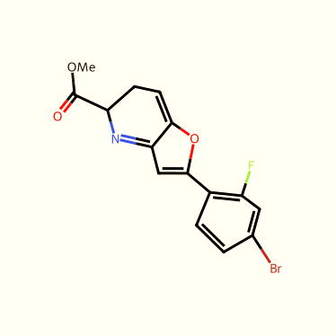 COC(=O)C1CC=c2oc(-c3ccc(Br)cc3F)cc2=N1